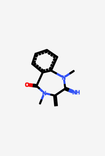 C=C1C(=N)N(C)c2ccccc2C(=O)N1C